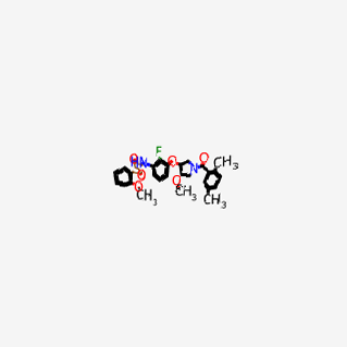 COc1ccccc1S(=O)(=O)Nc1cccc(OC2CN(C(=O)c3cc(C)ccc3C)CC2OC)c1F